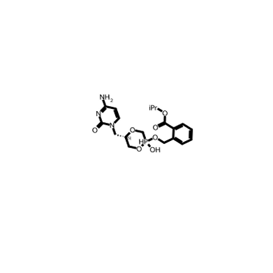 CC(C)OC(=O)c1ccccc1CO[PH]1(O)CO[C@@H](Cn2ccc(N)nc2=O)CO1